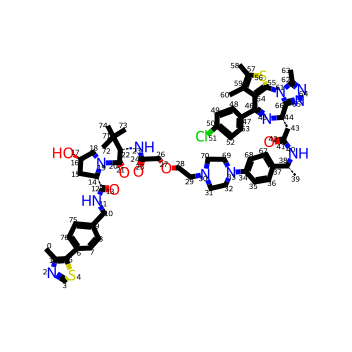 Cc1ncsc1-c1ccc(CNC(=O)[C@@H]2C[C@@H](O)CN2C(=O)[C@@H](NC(=O)COCCN2CCN(c3ccc([C@@H](C)NC(=O)C[C@@H]4N=C(c5ccc(Cl)cc5)c5c(sc(C)c5C)-n5c(C)nnc54)cc3)CC2)C(C)(C)C)cc1